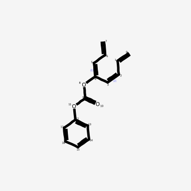 C=C/C=C\C(=C/C=C)OC(=O)Oc1ccccc1